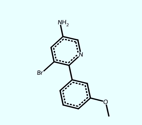 COc1cccc(-c2ncc(N)cc2Br)c1